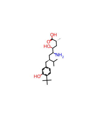 CC(C)[C@@H](Cc1ccc(C(C)(C)C)c(O)c1)C[C@H](N)[C@@H](O)C[C@@H](C)C(=O)O